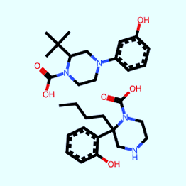 CC(C)(C)C1CN(c2cccc(O)c2)CCN1C(=O)O.CCCCC1(c2ccccc2O)CNCCN1C(=O)O